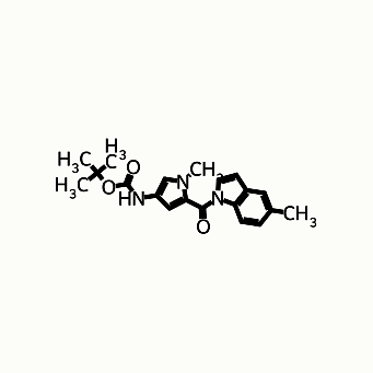 Cc1ccc2c(ccn2C(=O)c2cc(NC(=O)OC(C)(C)C)cn2C)c1